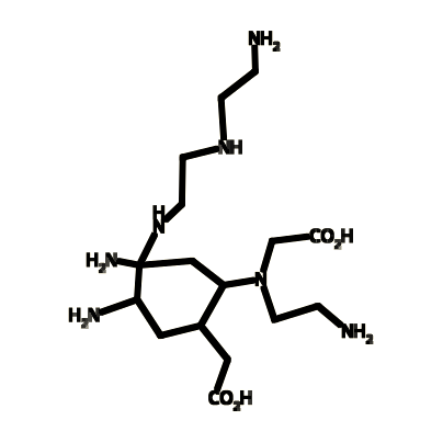 NCCNCCNC1(N)CC(N(CCN)CC(=O)O)C(CC(=O)O)CC1N